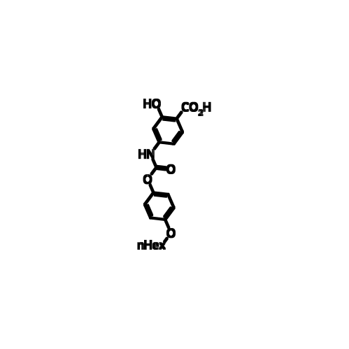 CCCCCCOc1ccc(OC(=O)Nc2ccc(C(=O)O)c(O)c2)cc1